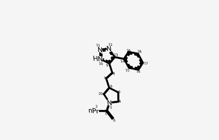 C=C(CCC)N1CCC(CCc2[nH]nnc2-c2ccccc2)C1